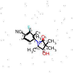 Cc1c(N2C(=O)C(C)(C)[C@H](O)[C@@H]2C)ccc(C#N)c1F